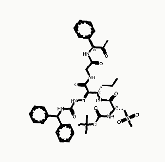 CCC[C@H](NC(=O)[C@H](CS(C)(=O)=O)NC(=O)OC(C)(C)C)C(=NNC(=O)NC(c1ccccc1)c1ccccc1)C(=O)NCC(=O)N[C@H](C(C)=O)c1ccccc1